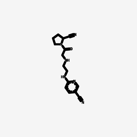 N#Cc1ccc(NCCNCC(=O)N2CCCC2C#N)nc1